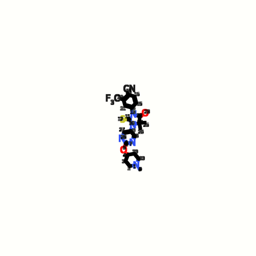 CN1CCC(Oc2ncc(N3C(=S)N(c4ccc(C#N)c(C(F)(F)F)c4)C(=O)C3(C)C)cn2)CC1